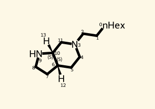 CCCCCCCCN1CC[C@@H]2CCN[C@@H]2C1